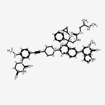 CNC(C)COC(=O)NCC(OC1CC1)(c1ccccc1)c1nc(N2CCC(C#Cc3ccc(OC)c(N4CCC(=O)NC4=O)c3)CC2)nc2ccc(-c3cn(C)c(=O)c4[nH]ccc34)cc12